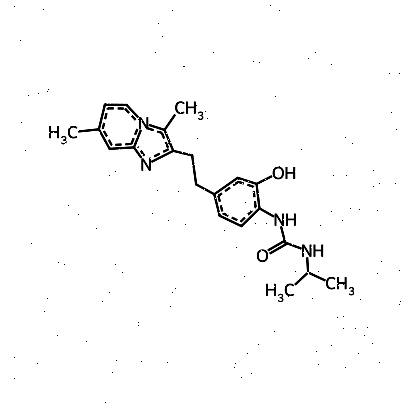 Cc1ccn2c(C)c(CCc3ccc(NC(=O)NC(C)C)c(O)c3)nc2c1